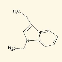 CCc1cn(CC)c2cccc[n+]12